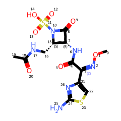 CO/N=C(\C(=O)N[C@H]1C(=O)N(S(=O)(=O)O)[C@H]1CNC(C)=O)c1csc(N)n1